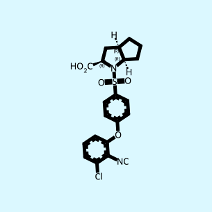 [C-]#[N+]c1c(Cl)cccc1Oc1ccc(S(=O)(=O)N2[C@@H](C(=O)O)C[C@H]3CCC[C@H]32)cc1